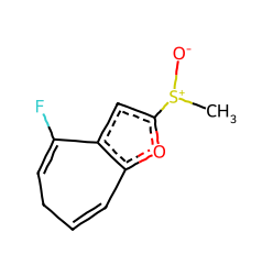 C[S+]([O-])c1cc2c(o1)C=CCC=C2F